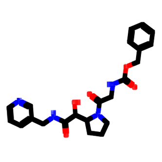 O=C(NCC(=O)N1CCCC1C(O)C(=O)NCc1cccnc1)OCc1ccccc1